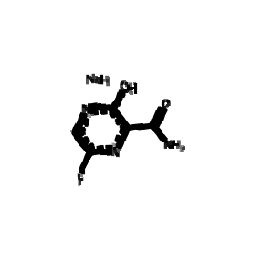 NC(=O)c1nc(F)cnc1O.[NaH]